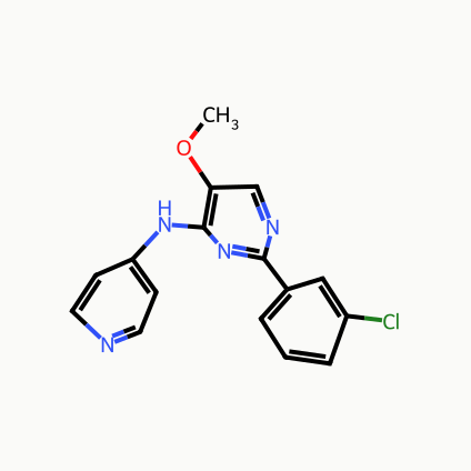 COc1cnc(-c2cccc(Cl)c2)nc1Nc1ccncc1